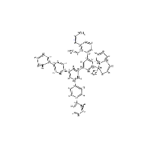 C=Cc1c(/C=C\C)cccc1-c1cc(-c2nc(-c3ccc(-c4ccccn4)cc3)cc(-c3ccc(-c4ccccn4)cc3)n2)cc(C2(C)CC=Cc3ccccc32)c1